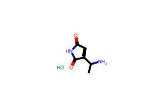 CC(N)C1=CC(=O)NC1=O.Cl